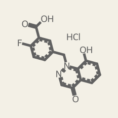 Cl.O=C(O)c1cc(Cn2ncc(=O)c3cccc(O)c32)ccc1F